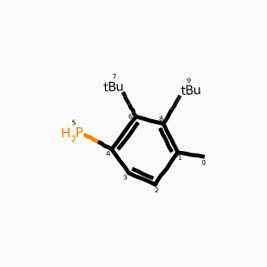 Cc1ccc(P)c(C(C)(C)C)c1C(C)(C)C